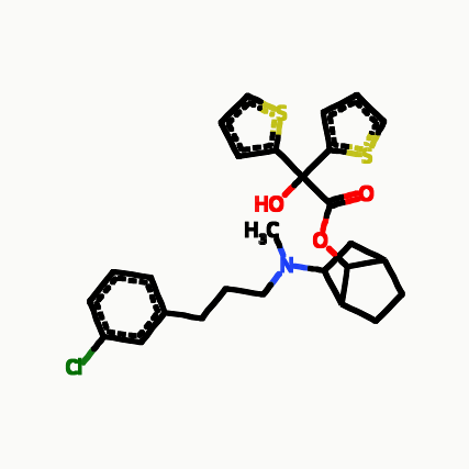 CN(CCCc1cccc(Cl)c1)C1CC2CCC1C2OC(=O)C(O)(c1cccs1)c1cccs1